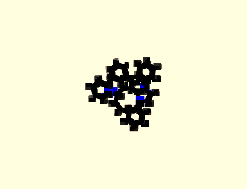 C=C1C2c3ccccc3-c3cccc[n+]3C2CCc2ccccc2N2C=CN(c3ccccc3)C12